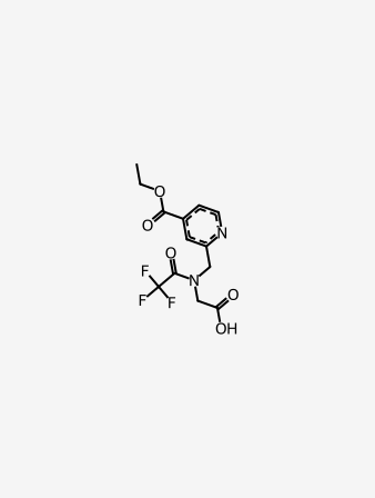 CCOC(=O)c1ccnc(CN(CC(=O)O)C(=O)C(F)(F)F)c1